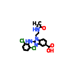 CC(=O)NCCn1c(Nc2c(Cl)cccc2Cl)nc2cc(C(=O)O)ccc21